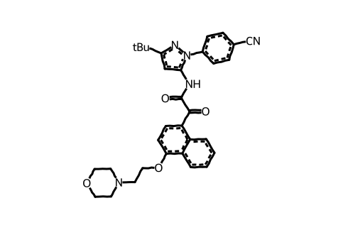 CC(C)(C)c1cc(NC(=O)C(=O)c2ccc(OCCN3CCOCC3)c3ccccc23)n(-c2ccc(C#N)cc2)n1